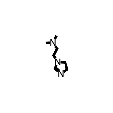 CN(C)CCN1C=NCC1